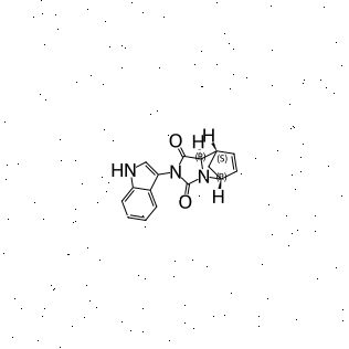 O=C1[C@H]2[C@@H]3C=C[C@@H](C3)N2C(=O)N1c1c[nH]c2ccccc12